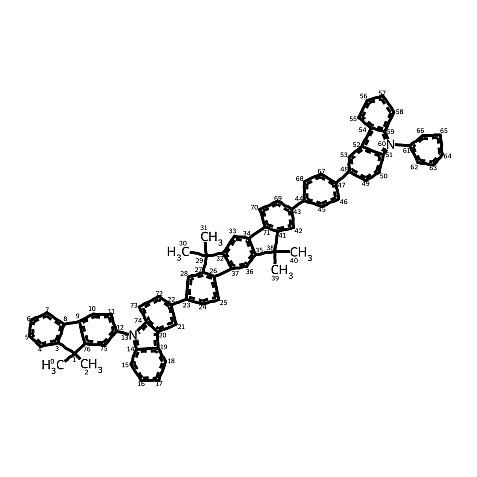 CC1(C)c2ccccc2-c2ccc(-n3c4ccccc4c4cc(-c5ccc6c(c5)C(C)(C)c5cc7c(cc5-6)C(C)(C)c5cc(-c6ccc(-c8ccc9c(c8)c8ccccc8n9-c8ccccc8)cc6)ccc5-7)ccc43)cc21